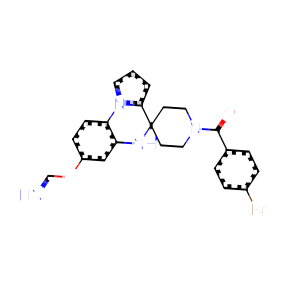 N=COc1ccc2c(c1)NC1(CCN(C(=O)c3ccc(Br)cc3)CC1)c1cccn1-2